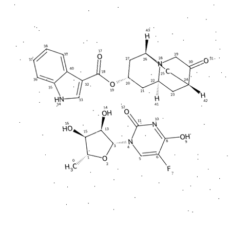 C[C@H]1O[C@@H](n2cc(F)c(O)nc2=O)[C@H](O)[C@@H]1O.O=C(O[C@H]1C[C@@H]2C[C@@H]3C[C@H](C1)N2CC3=O)c1c[nH]c2ccccc12